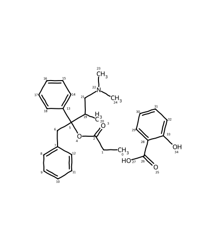 CCC(=O)OC(Cc1ccccc1)(c1ccccc1)C(C)CN(C)C.O=C(O)c1ccccc1O